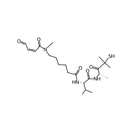 CC(C)[C@H](NC(=O)CCCCCN(C)C(=O)/C=C\C=O)C(=O)N[C@@H](C)C(=O)C(C)(C)S